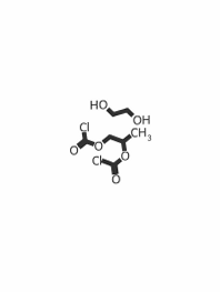 CC(COC(=O)Cl)OC(=O)Cl.OCCO